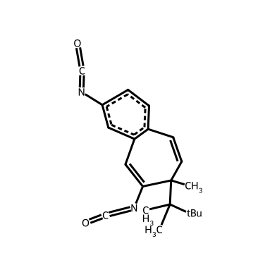 CC(C)(C)C(C)(C)C1(C)C=Cc2ccc(N=C=O)cc2C=C1N=C=O